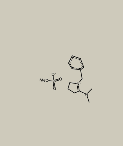 CN(C)C1=[N+](Cc2ccccc2)CCC1.COS(=O)(=O)[O-]